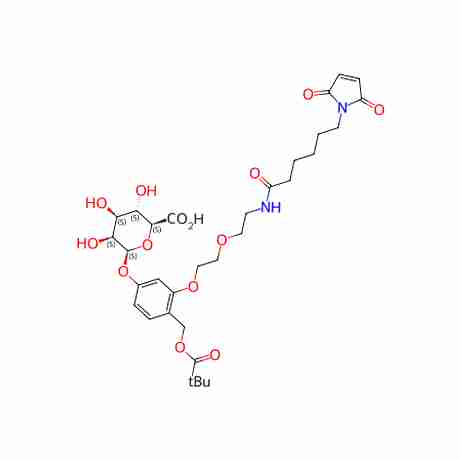 CC(C)(C)C(=O)OCc1ccc(O[C@@H]2O[C@H](C(=O)O)[C@@H](O)[C@H](O)[C@@H]2O)cc1OCCOCCNC(=O)CCCCCN1C(=O)C=CC1=O